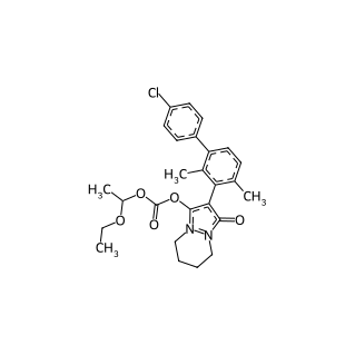 CCOC(C)OC(=O)Oc1c(-c2c(C)ccc(-c3ccc(Cl)cc3)c2C)c(=O)n2n1CCCC2